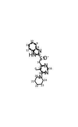 Cc1c(C[S+]([O-])c2nc3ccccc3[nH]2)ncnc1N1CCCCC1